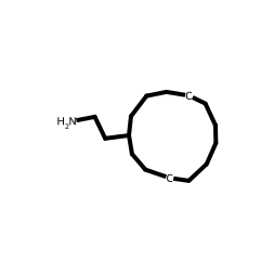 NCCC1CCCCCCCCCCCC1